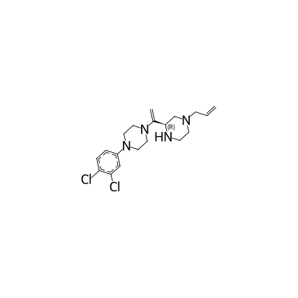 C=CCN1CCN[C@@H](C(=C)N2CCN(c3ccc(Cl)c(Cl)c3)CC2)C1